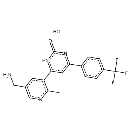 Cc1ncc(CN)cc1-c1cc(-c2ccc(C(F)(F)F)cc2)nc(=O)[nH]1.Cl